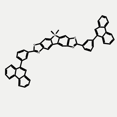 C[Si]1(C)c2cc3sc(-c4cccc(-c5cc6ccccc6c6ccccc56)c4)nc3cc2-c2cc3nc(-c4cccc(-c5cc6ccccc6c6ccccc56)c4)sc3cc21